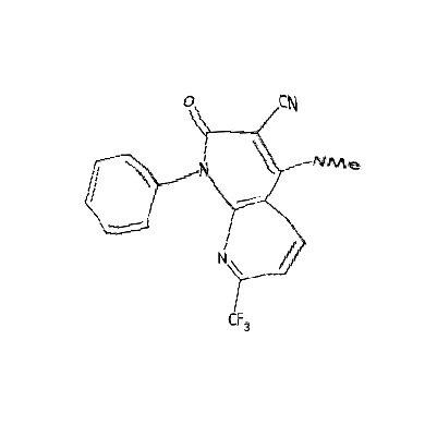 CNc1c(C#N)c(=O)n(-c2ccccc2)c2nc(C(F)(F)F)ccc12